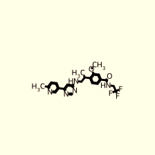 COc1cc(C(=O)NCC(F)(F)F)ccc1C(C)CNc1cc(-c2ccc(C)nc2)ncn1